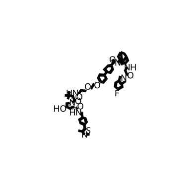 Cc1ncsc1-c1ccc(CNC(=O)[C@@H]2C[C@@H](O)CN2C(=O)[C@@H](NC(=O)CCOCCOc2ccc(-c3ccc(C(=O)NC45CC6CC(CC(NCC(=O)N7Cc8ccc(F)cc8C7)(C6)C4)C5)cc3)cc2)C(C)(C)C)cc1